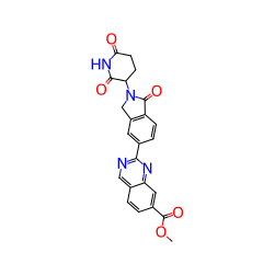 COC(=O)c1ccc2cnc(-c3ccc4c(c3)CN(C3CCC(=O)NC3=O)C4=O)nc2c1